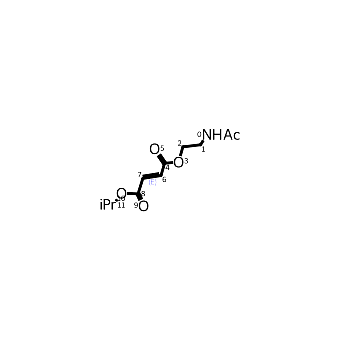 CC(=O)NCCOC(=O)/C=C/C(=O)OC(C)C